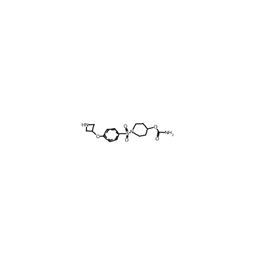 NC(=O)OC1CCN(S(=O)(=O)c2ccc(OC3CNC3)cc2)CC1